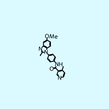 COc1ccc2c(c1)nc(C)n2-c1ccc(NC(=O)c2cnccc2C)cc1